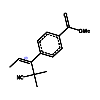 C/C=C(/c1ccc(C(=O)OC)cc1)C(C)(C)C#N